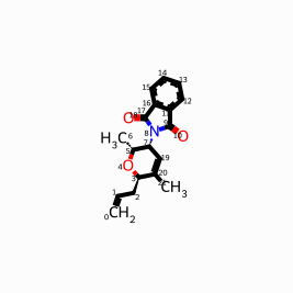 C=CC[C@H]1O[C@H](C)[C@H](N2C(=O)c3ccccc3C2=O)C=C1C